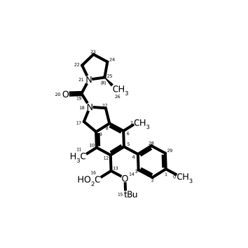 Cc1ccc(-c2c(C)c3c(c(C)c2C(OC(C)(C)C)C(=O)O)CN(C(=O)N2CCC[C@H]2C)C3)cc1